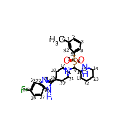 Cc1cccc(S(=O)(=O)C(C2CCCCN2)N2CCC(c3nc4cc(F)ccc4[nH]3)CC2)c1